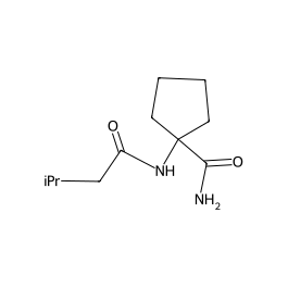 CC(C)CC(=O)NC1(C(N)=O)CCCC1